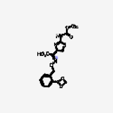 CC(C)(C)OC(=O)NC1=NC(/C(=N/OCc2ccccc2B2OCO2)C(=O)O)CS1